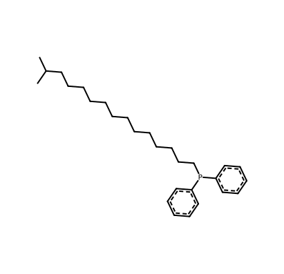 CC(C)CCCCCCCCCCCCCP(c1ccccc1)c1ccccc1